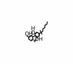 CCCCCCC(C)(C)c1cc(O)c(C2C=C(CO)CC[C@H]2C(C)C)c(O)c1